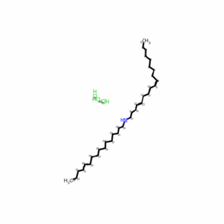 CCCCCCCC/C=C\CCCCCCCCNCCCCCCCCCCCCCCCC.Cl.Cl.Cl